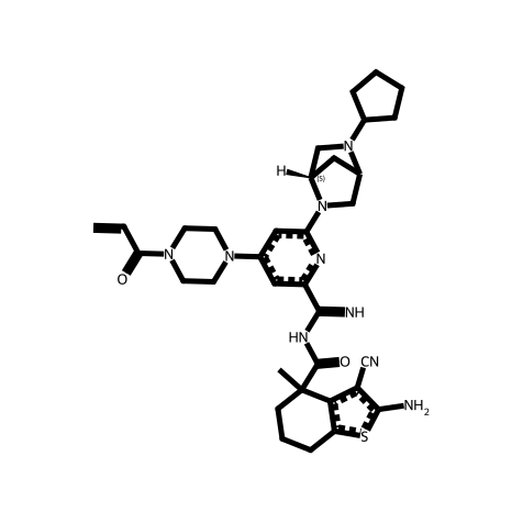 C=CC(=O)N1CCN(c2cc(C(=N)NC(=O)C3(C)CCCc4sc(N)c(C#N)c43)nc(N3CC4C[C@H]3CN4C3CCCC3)c2)CC1